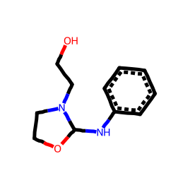 OCCN1CCOC1Nc1ccccc1